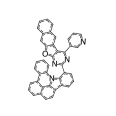 c1cncc(-c2nc(-c3cccc4c5ccc6cccc7c8ccccc8n(c34)c5c67)nc3oc4cc5ccccc5cc4c23)c1